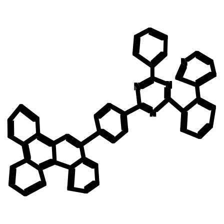 c1ccc(-c2nc(-c3ccc(-c4cc5c6ccccc6c6ccccc6c5c5ccccc45)cc3)nc(-c3ccccc3-c3cccnc3)n2)cc1